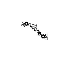 Cc1nc2cc(OC[C@H](O)CN3CCN(Cc4cc(-c5ccc(Cl)c(Cl)c5)on4)CC3)ccc2s1